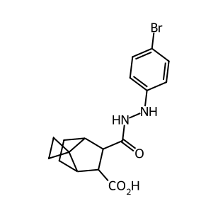 O=C(O)C1C(C(=O)NNc2ccc(Br)cc2)C2CCC1C21CC1